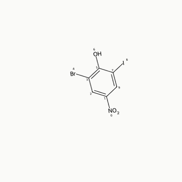 O=[N+]([O-])c1cc(Br)c(O)c(I)c1